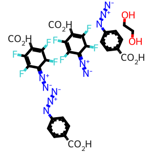 OCCO.[N-]=[N+]=C1C(F)=C(F)C(C(=O)O)=C(F)C1F.[N-]=[N+]=C1C(F)=C(F)C(C(=O)O)=C(F)C1F.[N-]=[N+]=Nc1ccc(C(=O)O)cc1.[N-]=[N+]=Nc1ccc(C(=O)O)cc1